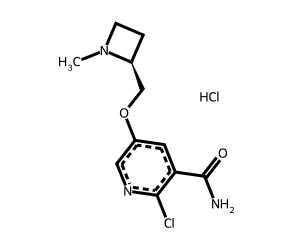 CN1CC[C@H]1COc1cnc(Cl)c(C(N)=O)c1.Cl